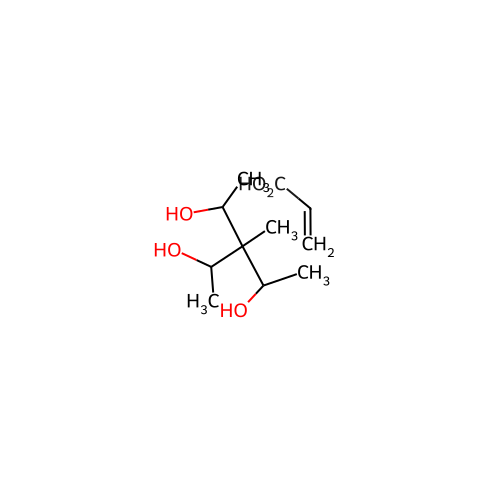 C=CC(=O)O.CC(O)C(C)(C(C)O)C(C)O